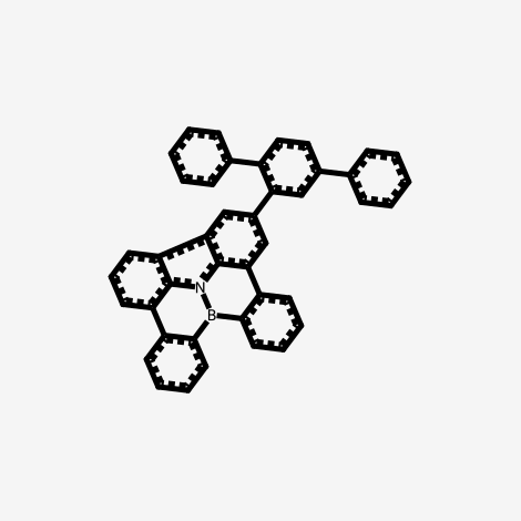 c1ccc(-c2ccc(-c3ccccc3)c(-c3cc4c5c(c3)c3cccc6c3n5B(c3ccccc3-6)c3ccccc3-4)c2)cc1